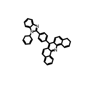 C1=CCC(n2c(-c3ccc(-c4c5ccc6c(c5nc5c4ccc4ccccc45)C=CCC6)cc3)nc3ccccc32)C=C1